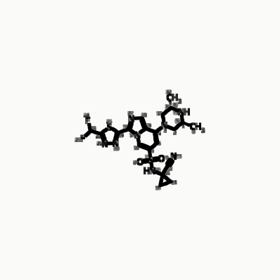 C[C@H]1CN(c2cc(S(=O)(=O)NC3(C#N)CC3)cn3c(-c4nnc(C(F)F)s4)ncc23)C[C@H](C)N1